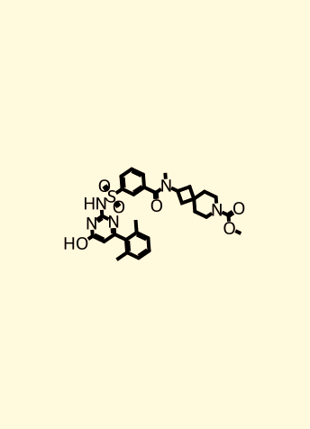 COC(=O)N1CCC2(CC1)CC(N(C)C(=O)c1cccc(S(=O)(=O)Nc3nc(O)cc(-c4c(C)cccc4C)n3)c1)C2